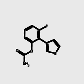 NC(=O)Oc1cccc(F)c1-c1ccsc1